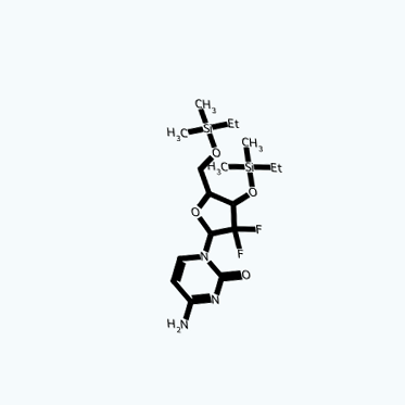 CC[Si](C)(C)OCC1OC(n2ccc(N)nc2=O)C(F)(F)C1O[Si](C)(C)CC